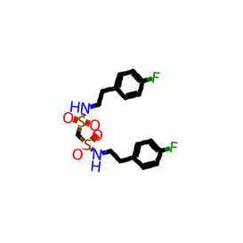 O=S(=O)(CS(=O)(=O)NCCc1ccc(F)cc1)NCCc1ccc(F)cc1